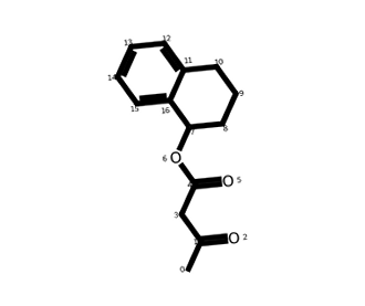 CC(=O)CC(=O)OC1CCCc2ccccc21